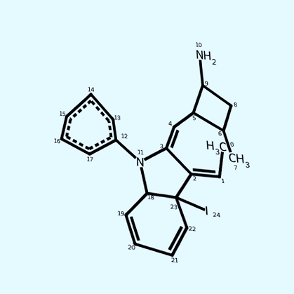 C/C=C1\C(=C/C2C(C)CC2N)N(c2ccccc2)C2C=CC=CC12I